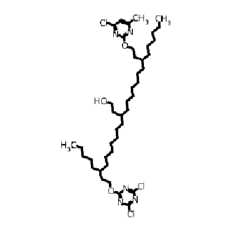 CCCCCCC(CCCCCCCC(CCO)CCCCCCCC(CCCCC)CCOc1nc(Cl)nc(Cl)n1)CCOc1nc(C)cc(Cl)n1